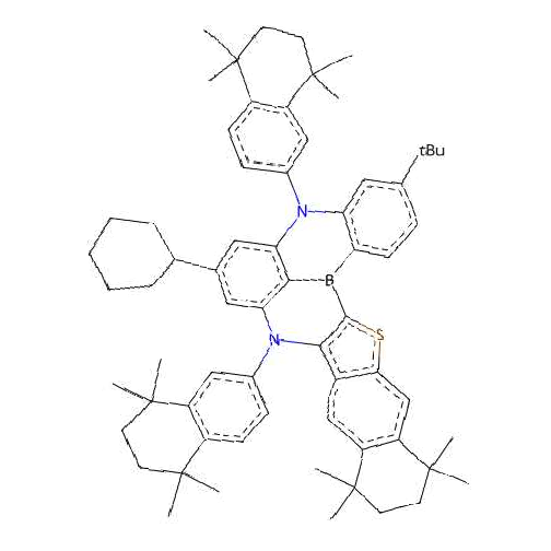 CC(C)(C)c1ccc2c(c1)N(c1ccc3c(c1)C(C)(C)CCC3(C)C)c1cc(C3CCCCC3)cc3c1B2c1sc2cc4c(cc2c1N3c1ccc2c(c1)C(C)(C)CCC2(C)C)C(C)(C)CCC4(C)C